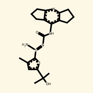 Cc1cc(C(C)(C)O)sc1/S(N)=N/C(=O)Nc1c2c(nc3c1CCC3)CCC2